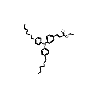 CCCCCCc1ccc(N(c2ccc(/C=C/C(=O)OCC)cc2)c2ccc(CCCCCC)cc2)cc1